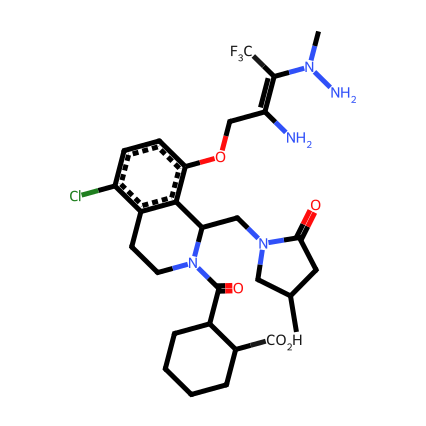 CC1CC(=O)N(CC2c3c(OC/C(N)=C(/N(C)N)C(F)(F)F)ccc(Cl)c3CCN2C(=O)C2CCCCC2C(=O)O)C1